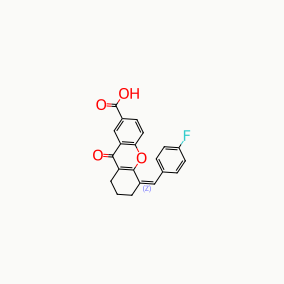 O=C(O)c1ccc2oc3c(c(=O)c2c1)CCC/C3=C/c1ccc(F)cc1